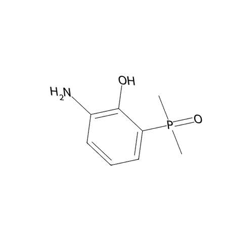 CP(C)(=O)c1cccc(N)c1O